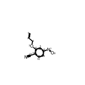 C=CCOc1cc(N=O)ccc1C#N